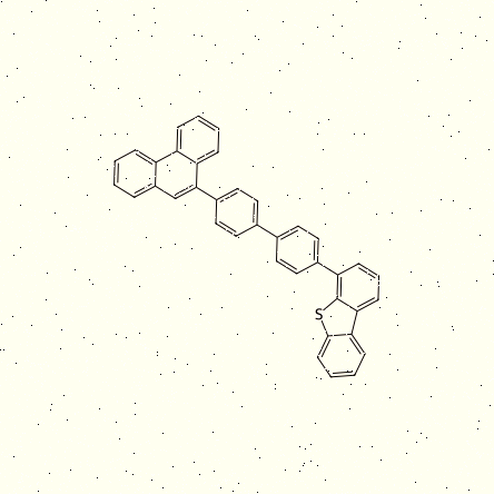 c1ccc2c(c1)cc(-c1ccc(-c3ccc(-c4cccc5c4sc4ccccc45)cc3)cc1)c1ccccc12